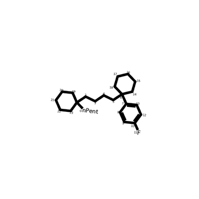 CCCCCC1(CCCCC2(c3ccc(F)cc3)CCCCC2)CCCCC1